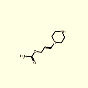 NC(=O)OCC=CN1CCNCC1